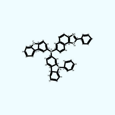 c1ccc(-c2nc3ccc4cc(N(c5ccc6oc7ccccc7c6c5)c5ccc6c7ccccc7n(-c7ccccc7)c6c5)ccc4c3o2)cc1